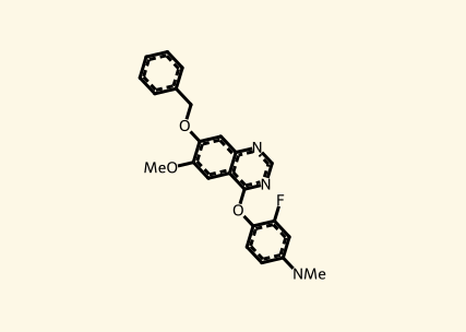 CNc1ccc(Oc2ncnc3cc(OCc4ccccc4)c(OC)cc23)c(F)c1